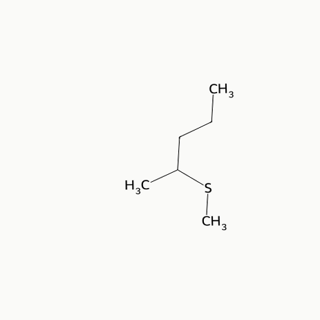 CCCC(C)SC